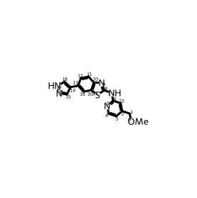 COCc1ccnc(Nc2nc3ccc(-c4cn[nH]c4)cc3s2)c1